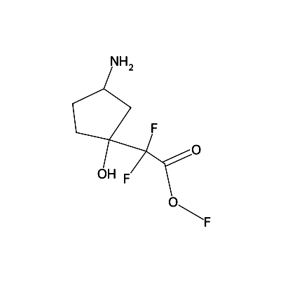 NC1CCC(O)(C(F)(F)C(=O)OF)C1